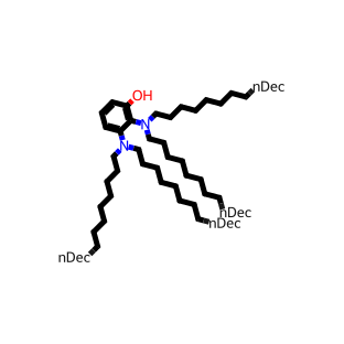 CCCCCCCCCCCCCCCCCCN(CCCCCCCCCCCCCCCCCC)c1cccc(O)c1N(CCCCCCCCCCCCCCCCCC)CCCCCCCCCCCCCCCCCC